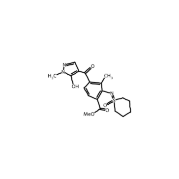 COC(=O)c1ccc(C(=O)c2cnn(C)c2O)c(C)c1N=S1(=O)CCCCC1